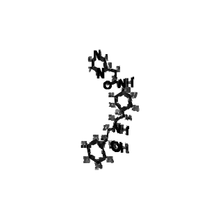 O=C(Cc1cnccn1)Nc1ccc(CCNC[C@H](O)c2ccccc2)cc1